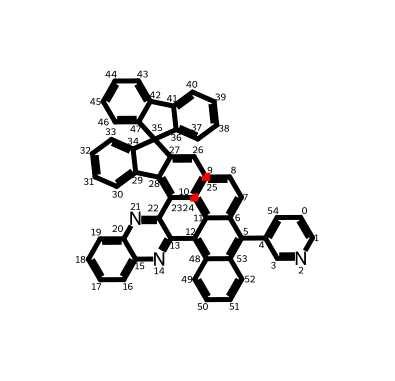 c1cncc(-c2c3ccccc3c(-c3nc4ccccc4nc3-c3cccc4c3-c3ccccc3C43c4ccccc4-c4ccccc43)c3ccccc23)c1